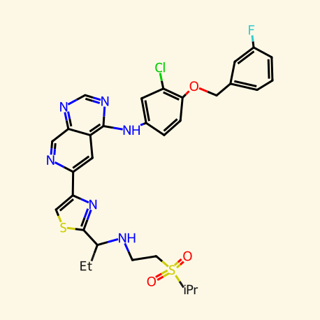 CCC(NCCS(=O)(=O)C(C)C)c1nc(-c2cc3c(Nc4ccc(OCc5cccc(F)c5)c(Cl)c4)ncnc3cn2)cs1